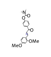 COc1ccc(/C=C/C(=O)c2ccc(OC(=O)N(C)C)cc2)c(OC)c1